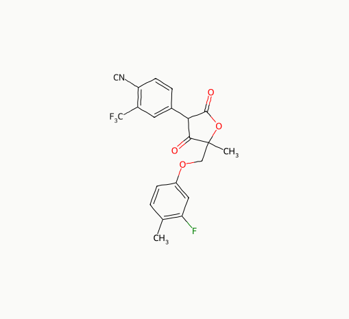 [C-]#[N+]c1ccc(C2C(=O)OC(C)(COc3ccc(C)c(F)c3)C2=O)cc1C(F)(F)F